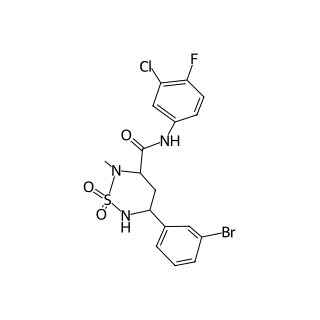 CN1C(C(=O)Nc2ccc(F)c(Cl)c2)CC(c2cccc(Br)c2)NS1(=O)=O